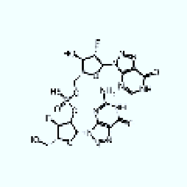 Nc1nc2c(nnn2[C@@H]2O[C@H](CO)[C@@H](F)[C@H]2OP(=O)(S)OC[C@H]2OC(n3nnc4c(=O)[nH]cnc43)[C@@H](F)[C@@H]2O)c(=O)[nH]1